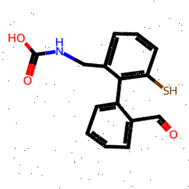 O=Cc1ccccc1-c1c(S)cccc1CNC(=O)O